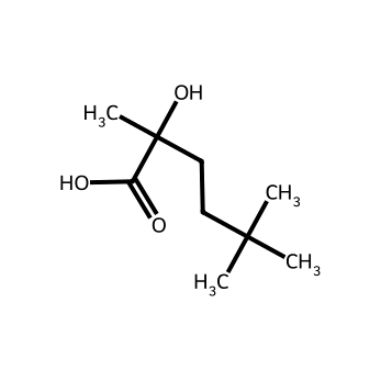 CC(C)(C)CCC(C)(O)C(=O)O